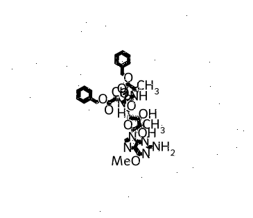 COc1nc(N)nc2c1ncn2[C@@H]1O[C@H](COP(=O)(N[C@@H](C)C(=O)OCc2ccccc2)N[C@@H](C)C(=O)OCc2ccccc2)[C@@H](O)[C@@]1(C)O